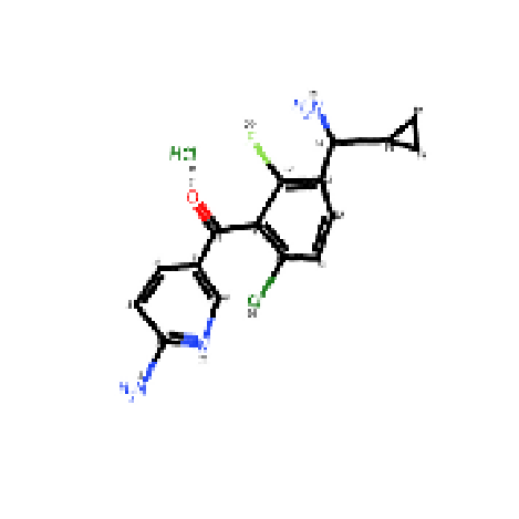 Cl.Nc1ccc(C(=O)c2c(Cl)ccc(C(N)C3CC3)c2F)cn1